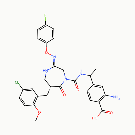 COc1ccc(Cl)cc1C[C@@H]1CN/C(=N\Oc2ccc(F)cc2)CN(C(=O)NC(C)c2ccc(C(=O)O)c(N)c2)C1=O